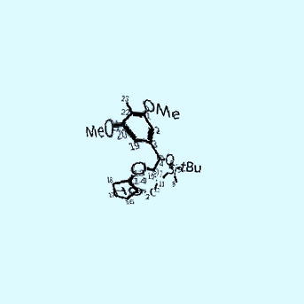 COc1cc([C@@H](O[Si](C)(C)C(C)(C)C)[C@H](CC(=O)O)OC2CCCC2)cc(OC)c1C